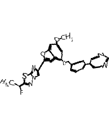 COc1cc(OCc2cccc(-c3cncnc3)c2)c2cc(-c3cn4nc([C@H](C)F)sc4n3)oc2c1